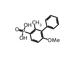 COc1ccc(P(=O)(O)O)c(C)c1-c1ccccc1